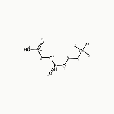 C[N+](C)(C)CCO[PH](=O)OCC(=O)O